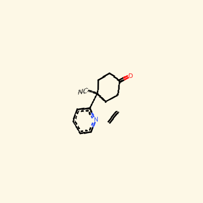 C=C.N#CC1(c2ccccn2)CCC(=O)CC1